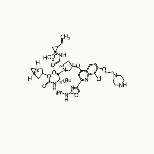 C=CC1C[C@]1(NC(=O)[C@@H]1C[C@@H](Oc2cc(-c3coc(NC(C)C)n3)nc3c(Cl)c(OCCN4CCNCC4)ccc23)CN1C(=O)[C@@H](NC(=O)OC1C[C@@H]2C[C@@H]2C1)C(C)(C)C)C(=O)O